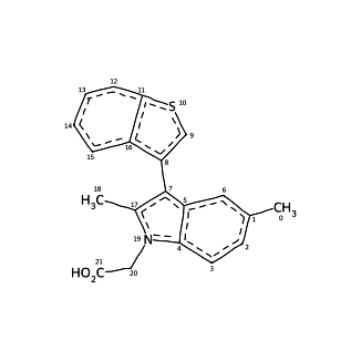 Cc1ccc2c(c1)c(-c1csc3ccccc13)c(C)n2CC(=O)O